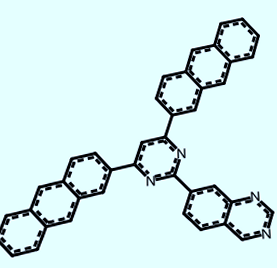 c1ccc2cc3cc(-c4cc(-c5ccc6cc7ccccc7cc6c5)nc(-c5ccc6cncnc6c5)n4)ccc3cc2c1